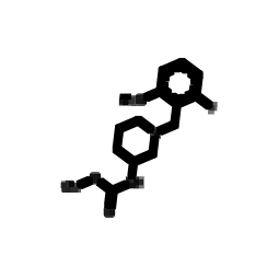 COc1cccc(F)c1CN1CCCC(NC(=O)OC(C)(C)C)C1